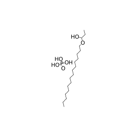 CCCCCCCCCCCCCCCCOC(O)CC.O=P(O)(O)O